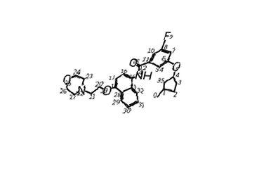 CC1CCC(Oc2cc(F)cc(C(=O)Nc3ccc(OCCN4CCOCC4)c4ccccc34)c2)C1